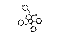 N=c1c2c(-c3ccccc3)c(-c3ccccc3)n(CC3CCCCC3)c2ncn1CC1CCOCC1